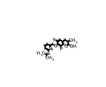 CC(C)Sc1cccc(COc2c(F)cc(CC(C)C(=O)O)cc2F)n1